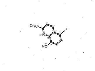 O=Cc1ccc2c(I)ccc(O)c2n1